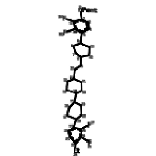 CCCCCc1ccc(C2CCC(CCC3CCC(C4CCC(c5ccc(CC)c(F)c5F)CC4)CC3)CC2)c(F)c1F